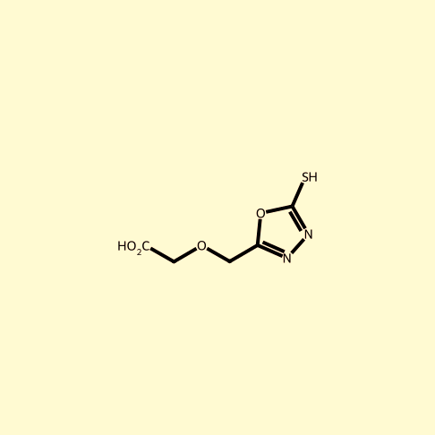 O=C(O)COCc1nnc(S)o1